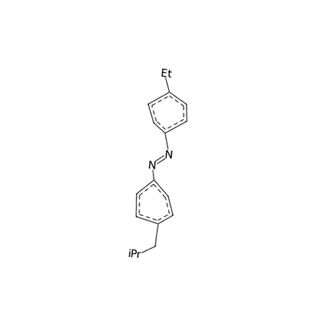 CCc1ccc(N=Nc2ccc(CC(C)C)cc2)cc1